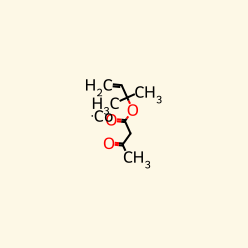 C=CC(C)(C)OC(=O)CC(C)=O.[Co]